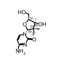 C[C@@]1(O)[C@H](CO)O[C@@H](n2ccc(N)nc2=O)[C@@]1(C)F